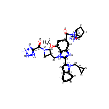 COc1cc(C(=O)N2CC3CCC2[C@@H]3N)cc2nc(-c3cc4ccccc4n3CC3CC3)n(CC3CN(C(=O)c4nn[nH]n4)C3)c12